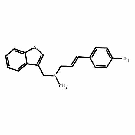 CN(C/C=C/c1ccc(C(F)(F)F)cc1)Cc1csc2ccccc12